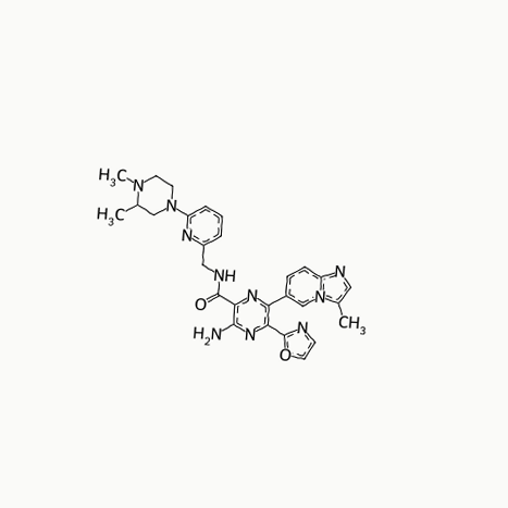 Cc1cnc2ccc(-c3nc(C(=O)NCc4cccc(N5CCN(C)C(C)C5)n4)c(N)nc3-c3ncco3)cn12